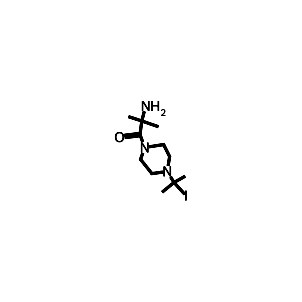 CC(C)(N)C(=O)N1CCN(C(C)(C)I)CC1